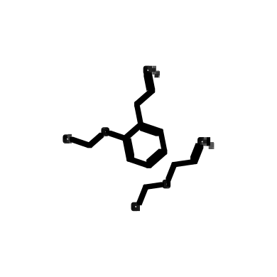 C=CCOCCl.C=CCc1ccccc1OCCl